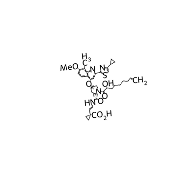 C=CCCCCCC(O)C(=O)N1C[C@H](Oc2cc(-c3nc(C4CC4)cs3)nc3c(C)c(OC)ccc23)C[C@H]1C(=O)NC=CC1(C(=O)O)CC1